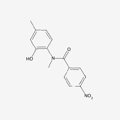 Cc1ccc(N(C)C(=O)c2ccc([N+](=O)[O-])cc2)c(O)c1